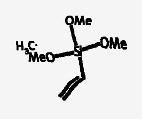 C=C[Si](OC)(OC)OC.[CH3]